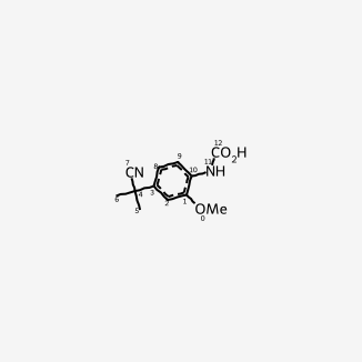 COc1cc(C(C)(C)C#N)ccc1NC(=O)O